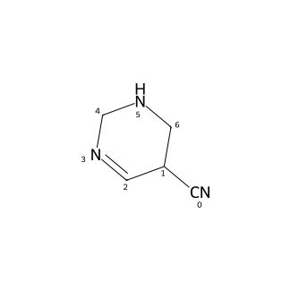 N#CC1C=NCNC1